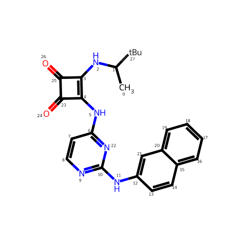 CC(Nc1c(Nc2ccnc(Nc3ccc4ccccc4c3)n2)c(=O)c1=O)C(C)(C)C